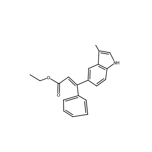 CCOC(=O)C=C(c1ccccc1)c1ccc2[nH]cc(C)c2c1